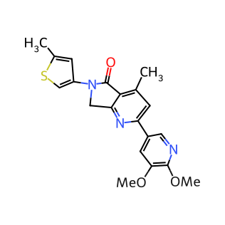 COc1cc(-c2cc(C)c3c(n2)CN(c2csc(C)c2)C3=O)cnc1OC